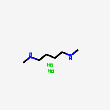 CNCCCCNC.Cl.Cl